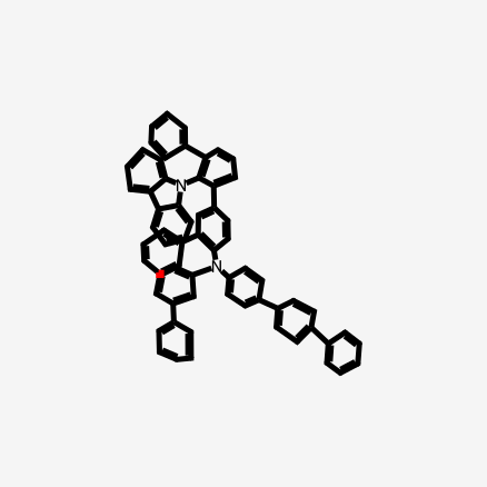 c1ccc(-c2ccc(-c3ccc(N(c4cccc(-c5ccccc5)c4)c4ccc(-c5cccc(-c6ccccc6)c5-n5c6ccccc6c6ccccc65)cc4-c4ccccc4)cc3)cc2)cc1